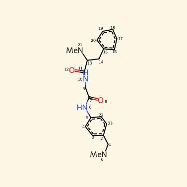 CNCc1ccc(NC(=O)CNC(=O)C(Cc2ccccc2)NC)cc1